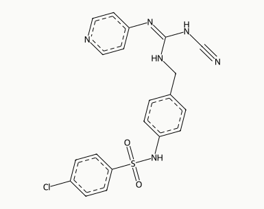 N#CN/C(=N/c1ccncc1)NCc1ccc(NS(=O)(=O)c2ccc(Cl)cc2)cc1